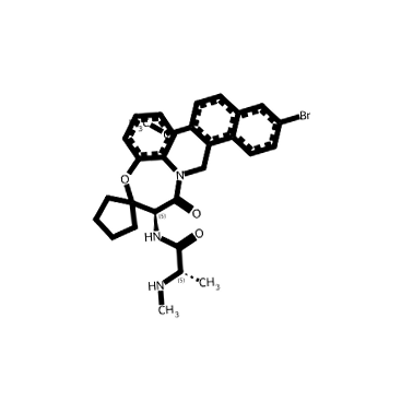 CN[C@@H](C)C(=O)N[C@@H]1C(=O)N(Cc2c(OC)ccc3cc(Br)ccc23)c2ccccc2OC12CCCC2